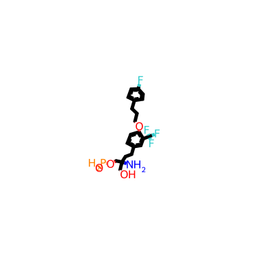 NC(CO)(CCc1ccc(OCCCc2ccc(F)cc2)c(C(F)(F)F)c1)CO[PH2]=O